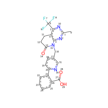 Cc1nc2c(c(C(F)(F)F)n1)CCC(=O)N2Cc1ccc(-c2ccccc2C(=O)O)nc1